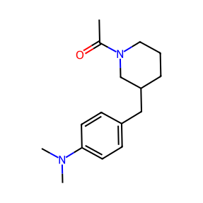 CC(=O)N1CCCC(Cc2ccc(N(C)C)cc2)C1